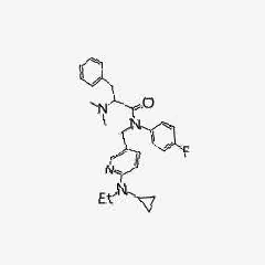 CCN(c1ccc(CN(C(=O)C(Cc2ccccc2)N(C)C)c2ccc(F)cc2)cn1)C1CC1